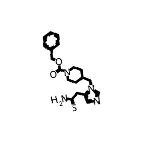 NC(=S)Cc1cncn1CC1CCN(C(=O)OCc2ccccc2)CC1